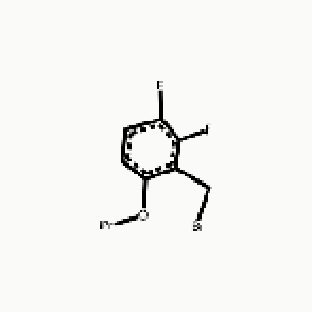 CC(C)Oc1ccc(F)c(F)c1CBr